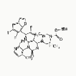 Cc1ccnc(C(C)C)c1-n1c(=O)nc(N2C[C@@H](C)N(C(=O)OC(C)(C)C)C[C@@H]2C)c2cc(F)c(-c3c(F)c(F)cc4ccoc34)nc21